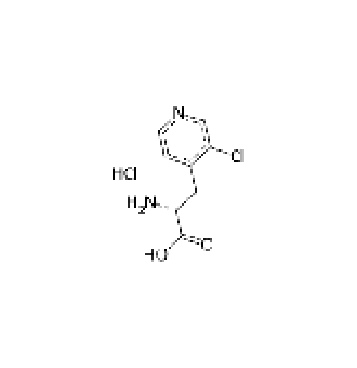 Cl.N[C@H](Cc1ccncc1Cl)C(=O)O